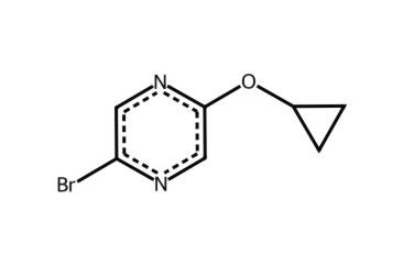 Brc1cnc(OC2CC2)cn1